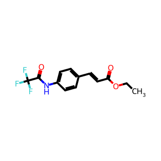 CCOC(=O)/C=C/c1ccc(NC(=O)C(F)(F)F)cc1